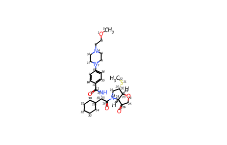 COCCN1CCN(c2ccc(C(=O)N[C@H](C(=O)N3C[C@H](SC)[C@H]4OCC(=O)[C@H]43)C3CCCCC3)cc2)CC1